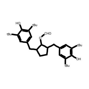 CC(C)(C)c1cc(CC2CCC(Cc3cc(C(C)(C)C)c(O)c(C(C)(C)C)c3)C2OC=O)cc(C(C)(C)C)c1O